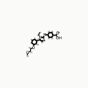 CCn1c(-c2cccc(OCCOC)c2)csc1=Nc1ccc(C(=O)O)cc1